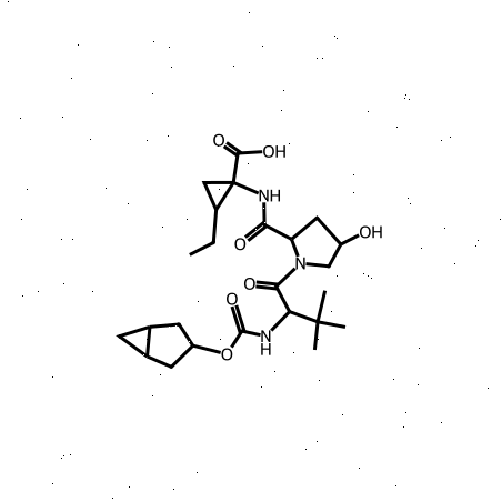 CCC1CC1(NC(=O)C1CC(O)CN1C(=O)C(NC(=O)OC1CC2CC2C1)C(C)(C)C)C(=O)O